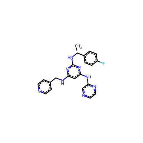 C[C@H](Nc1nc(NCc2ccncc2)cc(Nc2cnccn2)n1)c1ccc(F)cc1